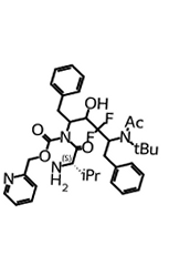 CC(=O)N(C(Cc1ccccc1)C(F)(F)C(O)C(Cc1ccccc1)N(C(=O)OCc1ccccn1)C(=O)[C@@H](N)C(C)C)C(C)(C)C